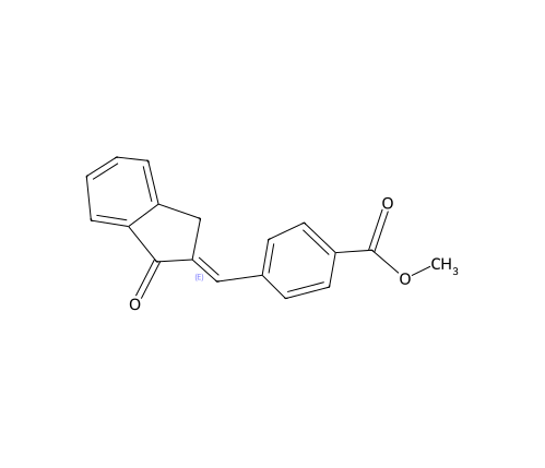 COC(=O)c1ccc(/C=C2\Cc3ccccc3C2=O)cc1